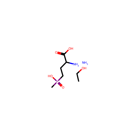 CCO.CP(=O)(O)CCC(N)C(=O)O.N